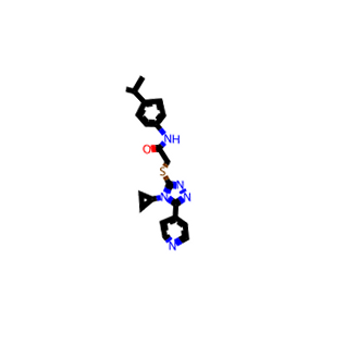 CC(C)c1ccc(NC(=O)CSc2nnc(-c3ccncc3)n2C2CC2)cc1